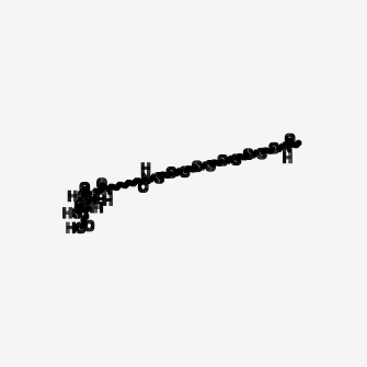 CCC(=O)NCCOCCOCCOCCOCCOCCOCCOCCOCCOCCOCCNC(=O)CCCCCCCNC(=O)CC[C@H](NC(=O)N[C@@H](CCC(=O)O)C(=O)O)C(=O)O